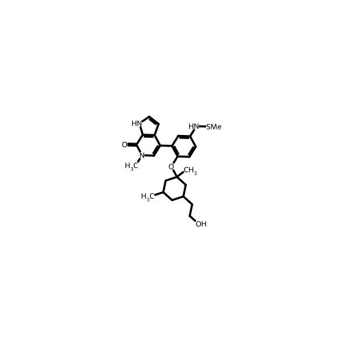 CSNc1ccc(OC2(C)CC(C)CC(CCO)C2)c(-c2cn(C)c(=O)c3[nH]ccc23)c1